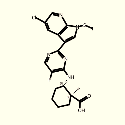 C[C@]1(C(=O)O)CCCC[C@@H]1Nc1nc(-c2cn(SI)c3ncc(Cl)cc23)ncc1F